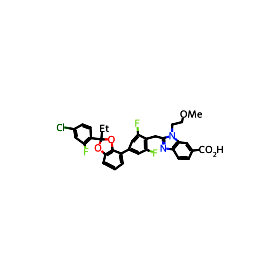 CCC1(c2ccc(Cl)cc2F)Oc2cccc(-c3cc(F)c(Cc4nc5ccc(C(=O)O)cc5n4CCOC)c(F)c3)c2O1